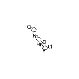 O=C(Nc1cc(F)cc(Cl)c1)C1CCC2(CC1)CN(Cc1cccc(Cl)c1)C2